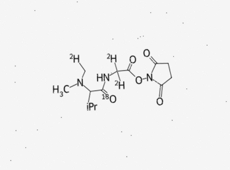 [2H]CN(C)C(C(=[18O])NC([2H])([2H])C(=O)ON1C(=O)CCC1=O)C(C)C